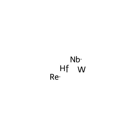 [Hf].[Nb].[Re].[W]